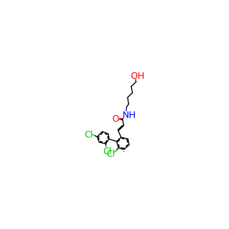 O=C(/C=C/c1cc[c]c(Cl)c1-c1ccc(Cl)cc1Cl)NCCCCCCO